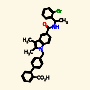 Cc1c(C)n(Cc2ccc(-c3ccccc3C(=O)O)cc2)c2ccc(C(=O)NC(C)c3ccccc3Br)cc12